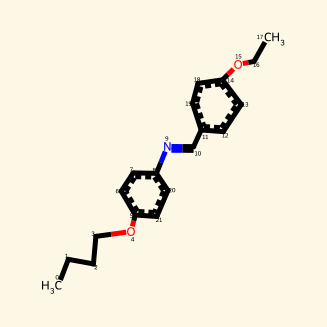 CCCCOc1ccc(N=Cc2ccc(OCC)cc2)cc1